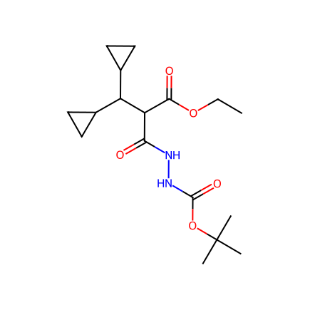 CCOC(=O)C(C(=O)NNC(=O)OC(C)(C)C)C(C1CC1)C1CC1